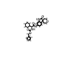 O=C(N[C@H](C(=O)Nc1ccc2c(c1)NC(=O)C21CCOCC1)C1CCCCC1)OCc1ccno1